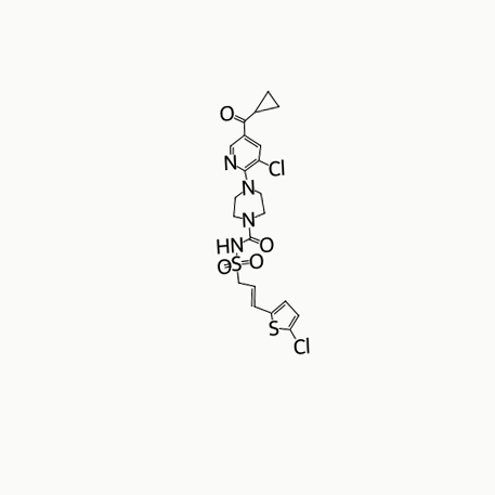 O=C(c1cnc(N2CCN(C(=O)NS(=O)(=O)CC=Cc3ccc(Cl)s3)CC2)c(Cl)c1)C1CC1